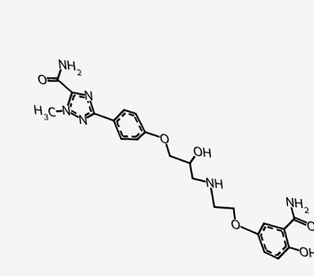 Cn1nc(-c2ccc(OCC(O)CNCCOc3ccc(O)c(C(N)=O)c3)cc2)nc1C(N)=O